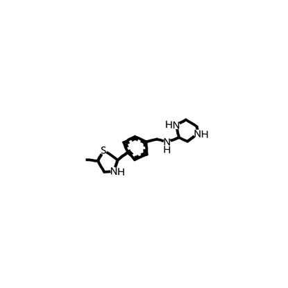 CC1CNC(c2ccc(CNC3CNCCN3)cc2)S1